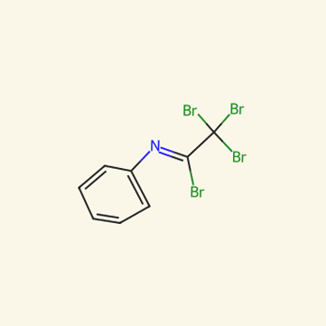 BrC(=Nc1ccccc1)C(Br)(Br)Br